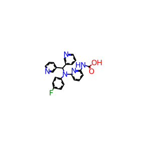 O=C(O)Nc1cccc(N(c2ccc(F)cc2)C(c2cccnc2)c2cccnc2)n1